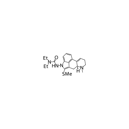 CCN(CC)C(=O)Nn1c(SC)c2c3c(cccc31)C1=CCCN(C)[C@@H]1C2